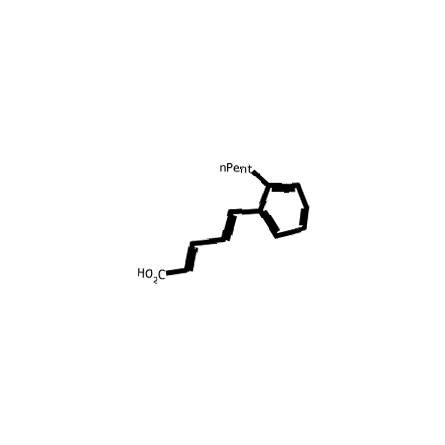 CCCCCc1ccccc1/C=C/C=C/C(=O)O